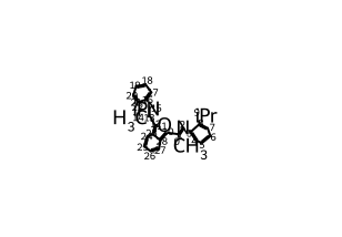 C/C(=N\c1ccccc1C(C)C)c1oc(/C(C)=N/c2ccccc2C(C)C)c2ccccc12